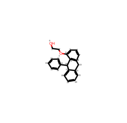 OCCOc1cccc2c1C(c1ccccc1)c1ccccc1C2